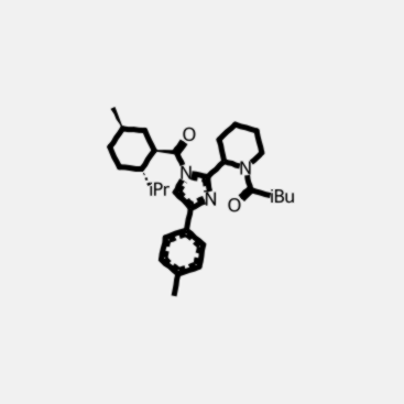 CCC(C)C(=O)N1CCCCC1c1nc(-c2ccc(C)cc2)cn1C(=O)[C@@H]1C[C@H](C)CC[C@H]1C(C)C